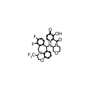 O=C1c2c(O)c(=O)ccn2N(C2c3ccc(F)c(F)c3CN3c4c(cccc42)OCC3C(F)(F)F)C2COCCN12